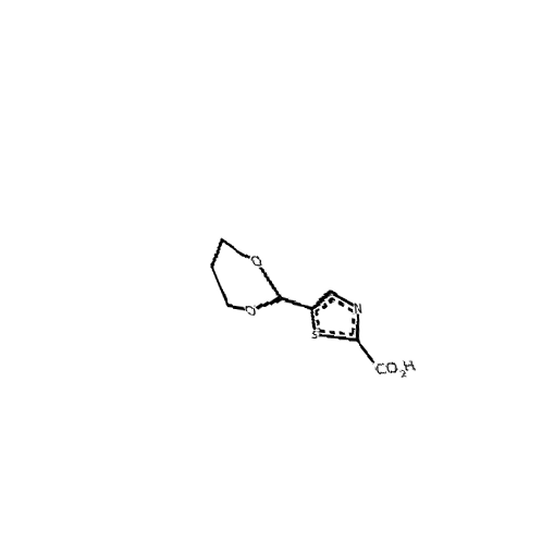 O=C(O)c1ncc(C2OCCCO2)s1